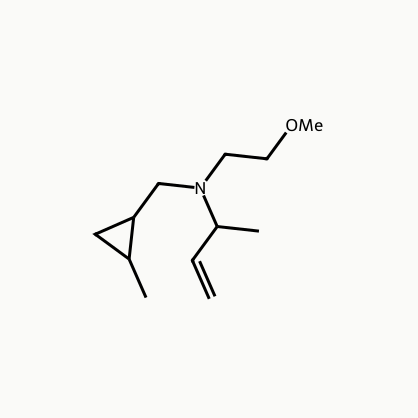 C=CC(C)N(CCOC)CC1CC1C